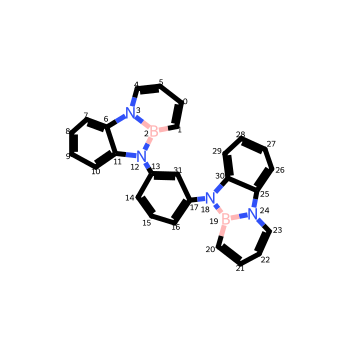 C1=CB2N(C=C1)c1ccccc1N2c1cccc(N2B3C=CC=CN3c3ccccc32)c1